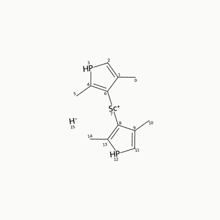 Cc1c[pH]c(C)[c]1[Sc+][c]1c(C)c[pH]c1C.[H-]